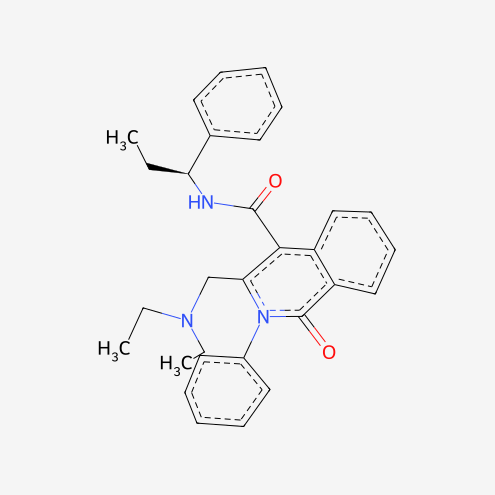 CC[C@H](NC(=O)c1c(CN(CC)CC)n(-c2ccccc2)c(=O)c2ccccc12)c1ccccc1